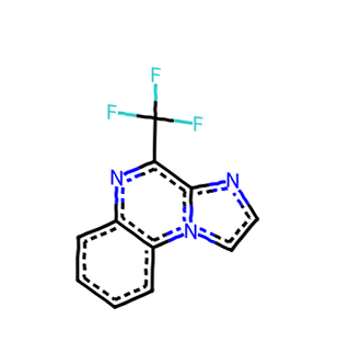 FC(F)(F)c1nc2ccccc2n2ccnc12